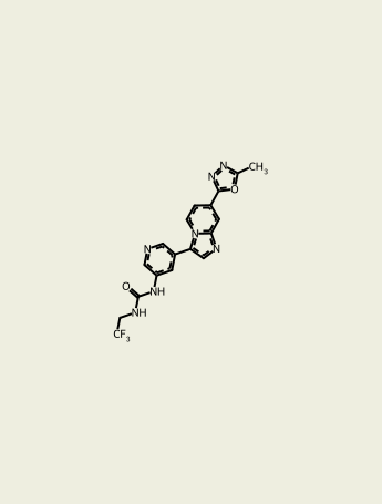 Cc1nnc(-c2ccn3c(-c4cncc(NC(=O)NCC(F)(F)F)c4)cnc3c2)o1